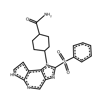 NC(=O)C1CCC(n2c(S(=O)(=O)c3ccccc3)nc3cnc4[nH]ccc4c32)CC1